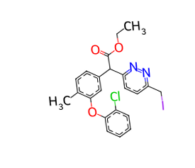 CCOC(=O)C(c1ccc(C)c(Oc2ccccc2Cl)c1)c1ccc(CI)nn1